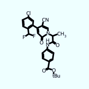 CC(C(=O)Nc1ccc(C(=O)OC(C)(C)C)cc1)n1cc(C#N)c(-c2cc(Cl)ccc2C(F)F)cc1=O